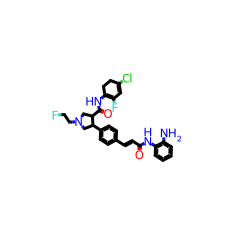 Nc1ccccc1NC(=O)/C=C/c1ccc(C2CN(CCF)CC2C(=O)NC2=C(F)C=C(Cl)CC2)cc1